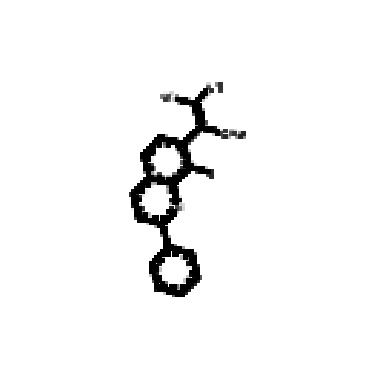 COC(=C(C#N)C#N)c1ccc2ccc(-c3ccccc3)nc2c1F